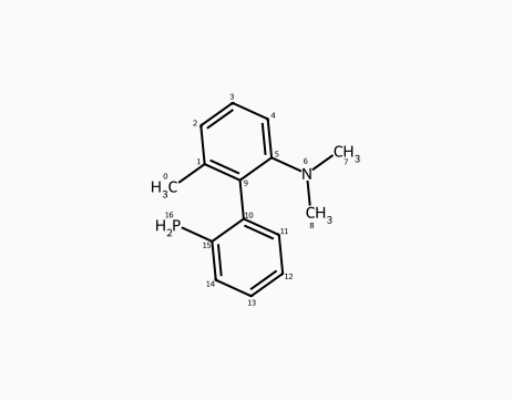 Cc1cccc(N(C)C)c1-c1ccccc1P